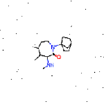 CNC1C(=O)N(C23CCC(CC2)C3)CCC(C)C1C